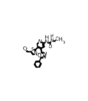 CCNC(=O)Nc1cc(-c2nnc(-c3ccccc3)o2)c(-c2ncc(C=O)s2)cn1